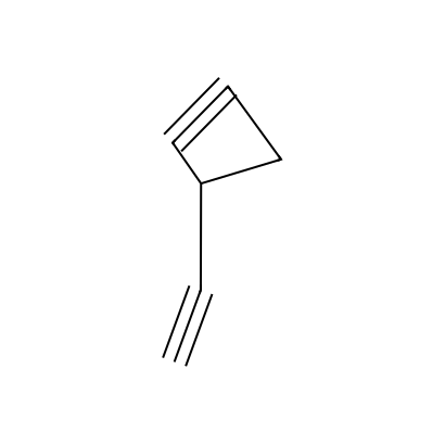 C#CC1C#CC1